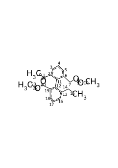 CCc1cccc(COOC)c1-c1c(CC)cccc1C(=O)OC